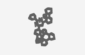 C1=CC2c3ccccc3C3(c4ccccc4-c4ccc(-c5cc(-c6cccc7c6oc6ccccc67)nc(-c6ccccc6)n5)cc43)c3ccccc3C2C=C1